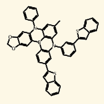 Cc1cc2c3c(c1)N(c1ccccc1)c1cc4c(cc1B3c1ccc(-c3cc5ccccc5s3)cc1N2c1cccc(-c2cc3ccccc3s2)c1)OCO4